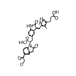 Cc1c(CCC(=O)O)c[nH]c1C=C1C(=O)Nc2ccc(CC(C(=O)O)N3C(=O)Cc4cc(C(=O)CCl)ccc43)cc21